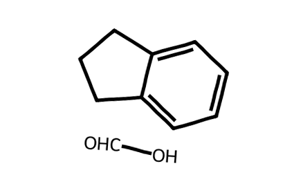 O=CO.c1ccc2c(c1)CCC2